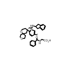 Fc1ccc([C@]2(CCNC3Cc4ccccc4C3)CCOC3(CCOCC3)C2)nc1.O=C(O)CNC(=O)c1ccccc1